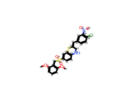 COc1cccc(OC)c1CS(=O)(=O)c1ccc2c(c1)SC(=Cc1ccc(Cl)c([N+](=O)[O-])c1)CN2